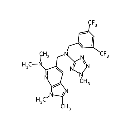 Cc1nc2cc(CN(Cc3cc(C(F)(F)F)cc(C(F)(F)F)c3)c3nnn(C)n3)c(N(C)C)nc2n1C